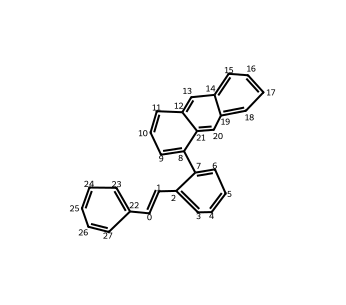 C(=C\c1ccccc1-c1cccc2cc3ccccc3cc12)/c1ccccc1